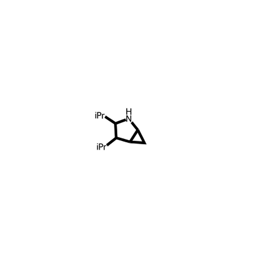 CC(C)C1NC2CC2C1C(C)C